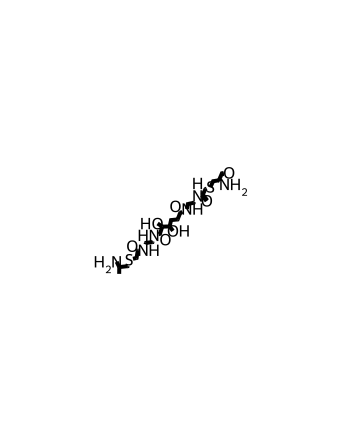 CC(N)CSCC(=O)NCCNC(=O)C(O)C(O)CCC(=O)NCCNC(=O)CSCC(N)C=O